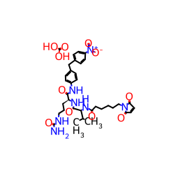 CC(C)[C@H](NC(=O)CCCCCN1C(=O)C=CC1=O)C(=O)N[C@@H](CCCNC(N)=O)C(=O)Nc1ccc(Cc2ccc([N+](=O)[O-])cc2)cc1.O=C(O)O